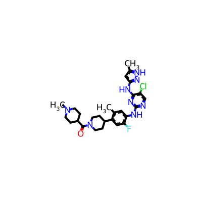 Cc1cc(Nc2nc(Nc3cc(C)c(C4CCN(C(=O)C5CCN(C)CC5)CC4)cc3F)ncc2Cl)n[nH]1